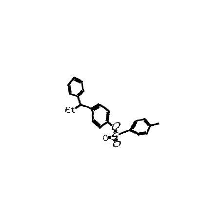 CCC(c1ccccc1)c1ccc(OS(=O)(=O)c2ccc(C)cc2)cc1